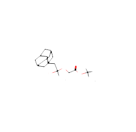 CC(C)(C)OC(=O)COC(C)(O)CC12CC3CC(CC(C3)C1)C2